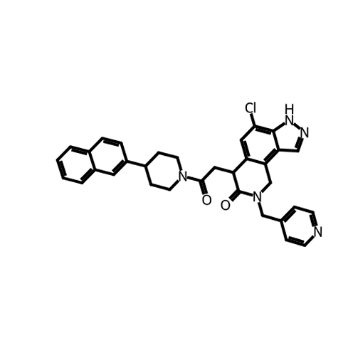 O=C(CC1C(=O)N(Cc2ccncc2)Cc2c1cc(Cl)c1[nH]ncc21)N1CCC(c2ccc3ccccc3c2)CC1